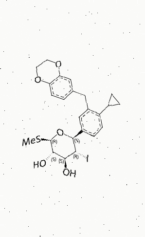 CS[C@H]1O[C@@H](c2ccc(C3CC3)c(Cc3ccc4c(c3)OCCO4)c2)[C@H](I)[C@@H](O)[C@@H]1O